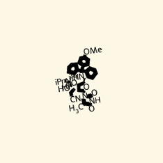 COc1ccc(C(NC[C@H]2O[C@@H](n3cc(C)c(=O)[nH]c3=O)C[C@@H]2O[PH](O)(CCC#N)N(C(C)C)C(C)C)(c2ccccc2)c2ccccc2)cc1